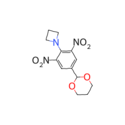 O=[N+]([O-])c1cc(C2OCCCO2)cc([N+](=O)[O-])c1N1CCC1